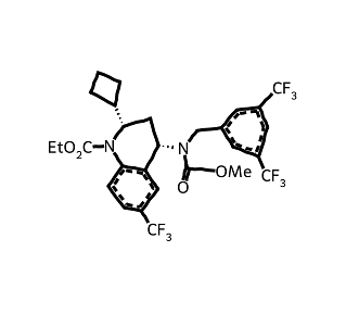 CCOC(=O)N1c2ccc(C(F)(F)F)cc2[C@@H](N(Cc2cc(C(F)(F)F)cc(C(F)(F)F)c2)C(=O)OC)C[C@H]1C1CCC1